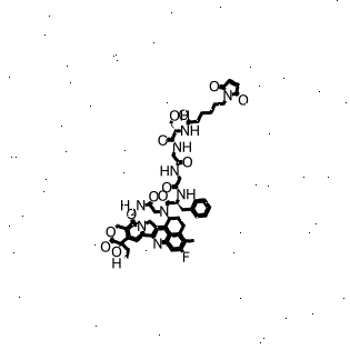 CC[C@@]1(O)C(=O)OCc2c1cc1n(c2=O)Cc2c-1nc1cc(F)c(C)c3c1c2[C@@H](N(CC(N)=O)C(=O)[C@H](Cc1ccccc1)NC(=O)CNC(=O)CNC(=O)[C@H](CO)NC(=O)CCCCCN1C(=O)C=CC1=O)CC3